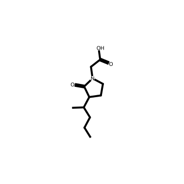 CCCC(C)C1CCN(CC(=O)O)C1=O